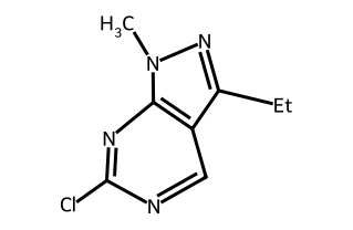 CCc1nn(C)c2nc(Cl)ncc12